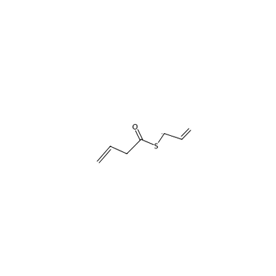 C=C[CH]SC(=O)CC=C